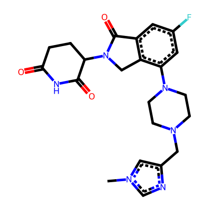 Cn1cnc(CN2CCN(c3cc(F)cc4c3CN(C3CCC(=O)NC3=O)C4=O)CC2)c1